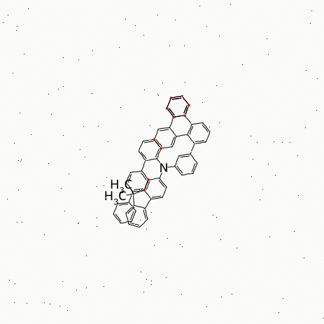 CC1(C)c2ccccc2-c2ccc(N(c3cccc(-c4cccc(-c5ccccc5)c4-c4ccccc4-c4ccccc4)c3)c3ccccc3-c3ccc(-c4ccccc4)cc3)cc21